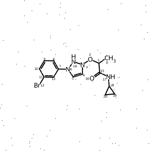 CC(ON1C=CN(c2cccc(Br)c2)N1)C(=O)NC1CC1